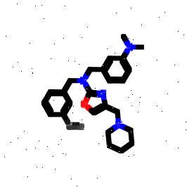 COc1cccc(CN(Cc2cccc(N(C)C)c2)c2nc(CN3CCCCC3)co2)c1